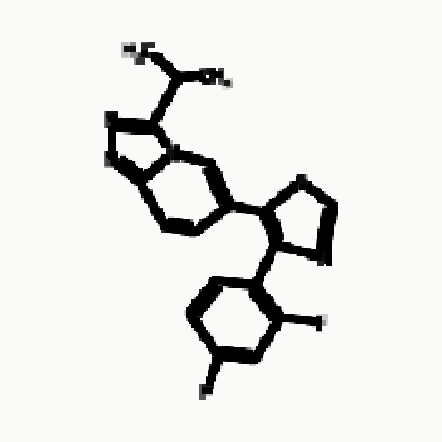 CC(C)c1nnc2ccc(-c3scnc3-c3ccc(F)cc3F)cn12